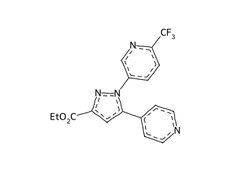 CCOC(=O)c1cc(-c2ccncc2)n(-c2ccc(C(F)(F)F)nc2)n1